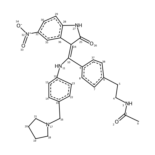 CC(=O)NCCc1ccc(C(Nc2ccc(CN3CCCC3)cc2)=C2C(=O)Nc3ccc([N+](=O)[O-])cc32)cc1